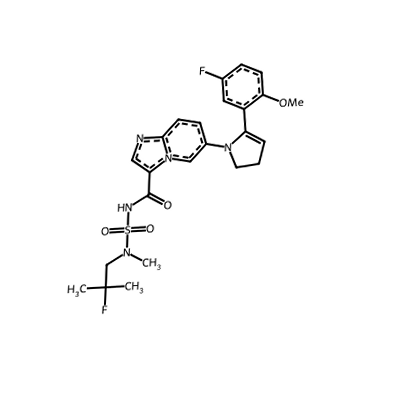 COc1ccc(F)cc1C1=CCCN1c1ccc2ncc(C(=O)NS(=O)(=O)N(C)CC(C)(C)F)n2c1